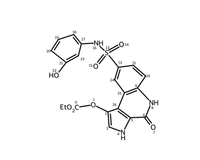 CCOC(=O)Oc1c[nH]c2c(=O)[nH]c3ccc(S(=O)(=O)Nc4cccc(O)c4)cc3c12